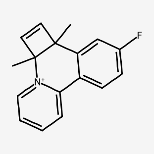 CC12C=CC1(C)[n+]1ccccc1-c1ccc(F)cc12